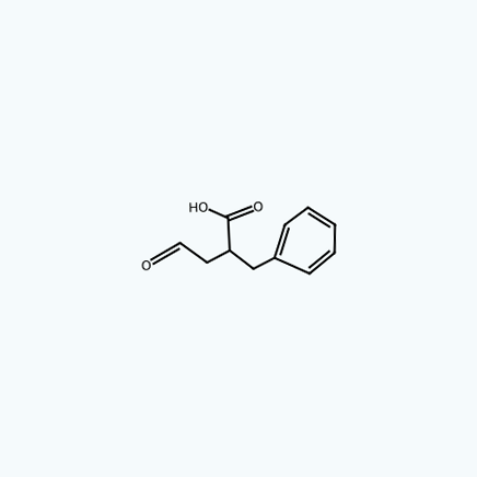 O=CCC(Cc1ccccc1)C(=O)O